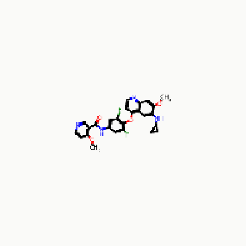 COc1cc2nccc(Oc3c(F)cc(NC(=O)c4cnccc4OC)cc3F)c2cc1NC1CC1